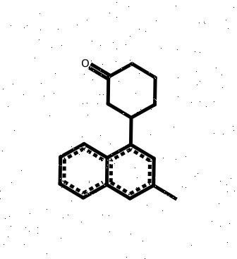 Cc1cc(C2CCCC(=O)C2)c2ccccc2c1